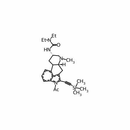 CCN(CC)C(=O)N[C@H]1CC2c3cccc4c3c(c(C#C[Si](C)(C)C)n4C(C)=O)C[C@H]2N(C)C1